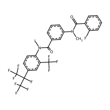 CN(C(=O)c1ccccc1F)c1cccc(C(=O)N(I)c2ccc(C(F)(C(F)(F)F)C(F)(F)F)cc2C(F)(F)F)c1